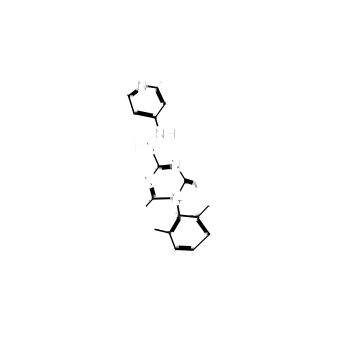 CCc1nc(NNc2ccncc2)nc(=O)n1-c1c(C)cccc1C